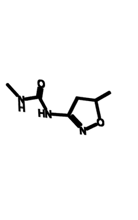 CNC(=O)NC1=NOC(C)C1